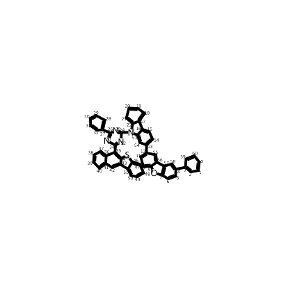 c1ccc(-c2ccc3oc4ccc(-c5ccc6c7ccccc7n(-c7nc(-c8ccccc8)nc(-c8c9ccccc9cc9c8sc8ccccc89)n7)c6c5)cc4c3c2)cc1